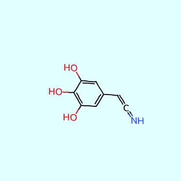 N=C=Cc1cc(O)c(O)c(O)c1